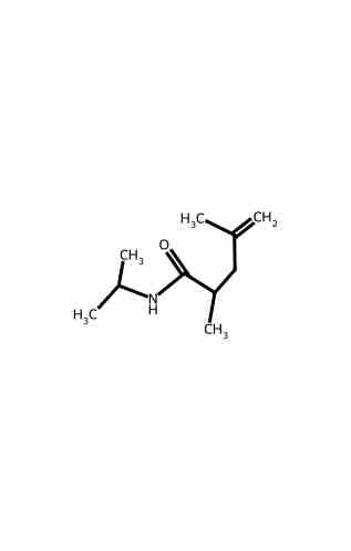 C=C(C)CC(C)C(=O)NC(C)C